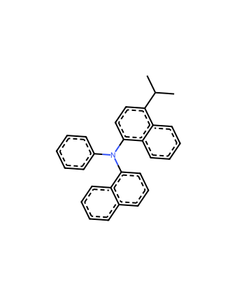 CC(C)c1ccc(N(c2ccccc2)c2cccc3ccccc23)c2ccccc12